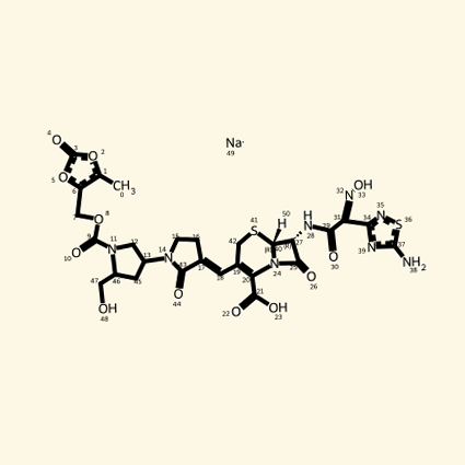 Cc1oc(=O)oc1COC(=O)N1CC(N2CCC(=CC3=C(C(=O)O)N4C(=O)[C@@H](NC(=O)C(=NO)c5nsc(N)n5)[C@H]4SC3)C2=O)CC1CO.[Na]